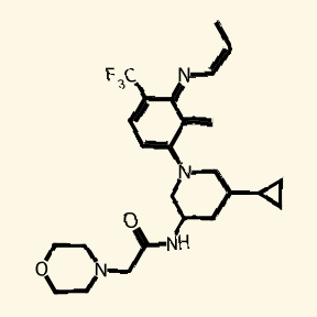 C=C1C(N2CC(NC(=O)CN3CCOCC3)CC(C3CC3)C2)=CC=C(C(F)(F)F)/C1=N/C=C\C